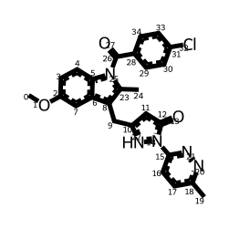 COc1ccc2c(c1)c(Cc1cc(=O)n(-c3ccc(C)nn3)[nH]1)c(C)n2C(=O)c1ccc(Cl)cc1